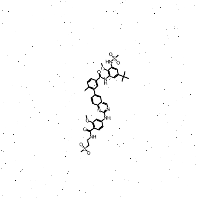 COc1cc(Nc2ncc3cc(-c4cc(C(=O)Nc5cc(C(C)(C)C)cc(NS(C)(=O)=O)c5OC)ccc4C)ccc3n2)ccc1C(=O)NCCS(C)(=O)=O